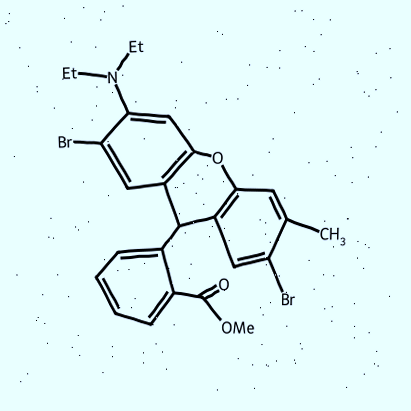 CCN(CC)c1cc2c(cc1Br)C(c1ccccc1C(=O)OC)c1cc(Br)c(C)cc1O2